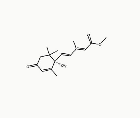 COC(=O)/C=C(C)/C=C/[C@@]1(O)C(C)=CC(=O)CC1(C)C